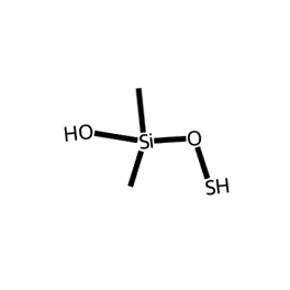 C[Si](C)(O)OS